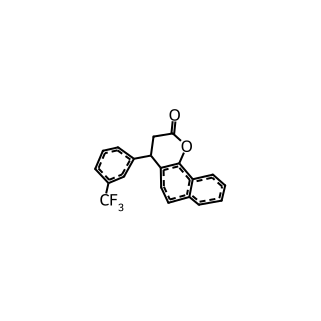 O=C1CC(c2cccc(C(F)(F)F)c2)c2ccc3ccccc3c2O1